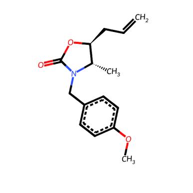 C=CC[C@@H]1OC(=O)N(Cc2ccc(OC)cc2)[C@H]1C